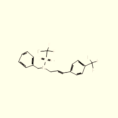 O=S(=O)(N(C/C=C/c1ccc(C(F)(F)F)cc1)Cc1ccccc1)C(F)(F)F